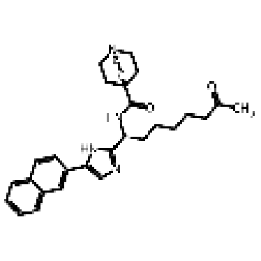 CC(=O)CCCCC[C@H](NC(=O)C12CCN(CC1)CC2)c1ncc(-c2ccc3ccccc3c2)[nH]1